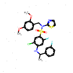 COc1ccc(CN(c2nccs2)S(=O)(=O)c2cc(Cl)c(NC(C)c3cccc(F)c3)cc2F)c(OC)c1